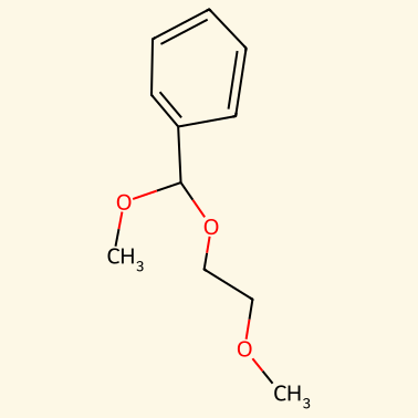 COCCOC(OC)c1ccccc1